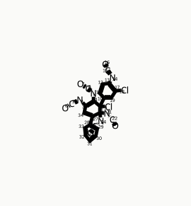 O=C=NC1=C(N=C=O)C(Cl)(c2ccc(N=C=O)c(Cl)c2)C(N=C=O)(N=C=O)C(c2ccccc2)=C1